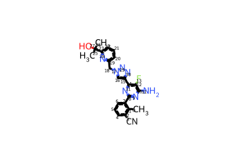 Cc1c(C#N)cccc1-c1nc(N)c(F)c(-c2cn(Cc3cccc(C(C)(C)O)n3)nn2)n1